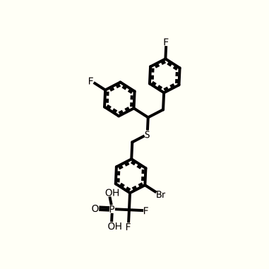 O=P(O)(O)C(F)(F)c1ccc(CSC(Cc2ccc(F)cc2)c2ccc(F)cc2)cc1Br